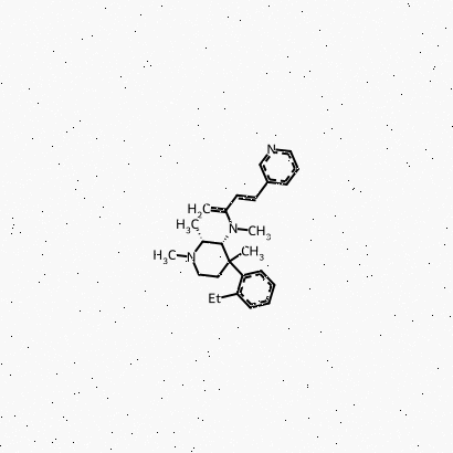 C=C(/C=C/c1cccnc1)N(C)[C@H]1[C@@H](C)N(C)CCC1(C)c1ccccc1CC